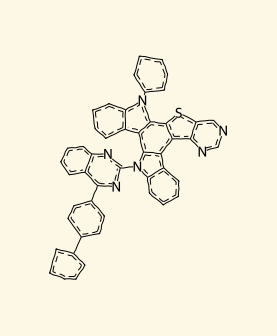 c1ccc(-c2ccc(-c3nc(-n4c5ccccc5c5c6c7ncncc7sc6c6c(c7ccccc7n6-c6ccccc6)c54)nc4ccccc34)cc2)cc1